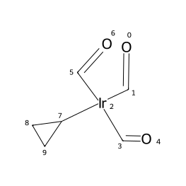 O=[CH][Ir]([CH]=O)([CH]=O)[CH]1CC1